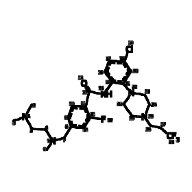 CN(C)CCN(C)Cc1ccc(C(=O)Nc2ccc(Cl)cc2N2CCN(CCC(F)(F)F)CC2)c(F)c1